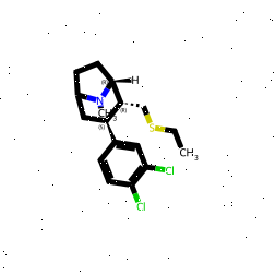 CCSC[C@@H]1[C@@H](c2ccc(Cl)c(Cl)c2)CC2CC[C@H]1N2C